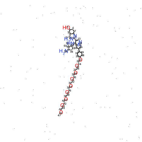 CCc1cc(O)ccc1/N=C(\N)c1cnn2cc(-c3ccc(OCCOCCOCCOCCOCCOCCOCCOCCOC)cc3)cc2c1NC1CCC(N)C1(C)C